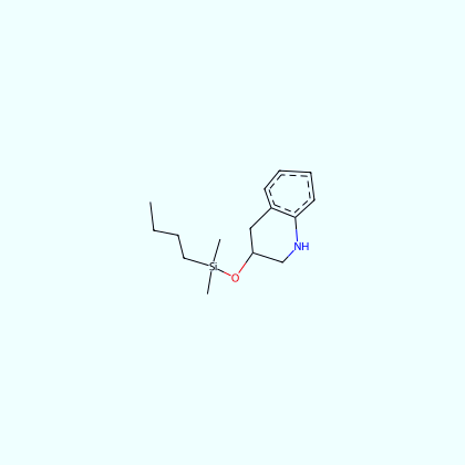 CCCC[Si](C)(C)OC1CNc2ccccc2C1